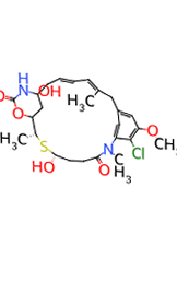 COc1cc2cc(c1Cl)N(C)C(=O)CC[C@H](O)S[C@H](C)C1C[C@](O)(C/C=C/C=C(\C)C2)NC(=O)O1